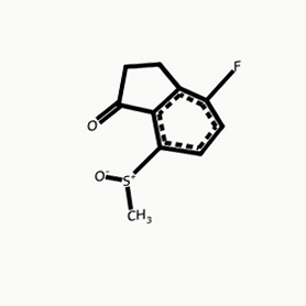 C[S+]([O-])c1ccc(F)c2c1C(=O)CC2